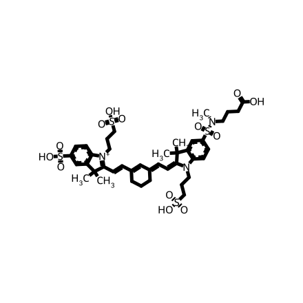 CN(CCCC(=O)O)S(=O)(=O)c1ccc2c(c1)C(C)(C)/C(=C\C=C1C=C(/C=C/C3=[N+](CCCS(=O)(=O)O)c4ccc(S(=O)(=O)O)cc4C3(C)C)CCC\1)N2CCCS(=O)(=O)O